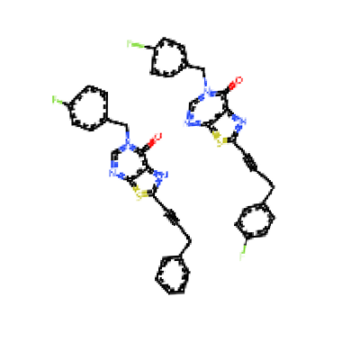 O=c1c2nc(C#CCc3ccc(F)cc3)sc2ncn1Cc1ccc(F)cc1.O=c1c2nc(C#CCc3ccccc3)sc2ncn1Cc1ccc(F)cc1